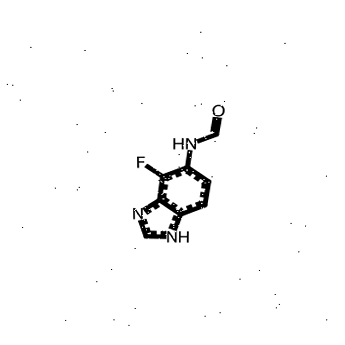 O=CNc1ccc2[nH]cnc2c1F